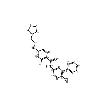 Cc1nc(NCCN2CCCC2)ccc1C(=O)Nc1ccc(Cl)c(-c2ccccn2)c1